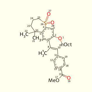 CCCCCCCCOc1cc2c(cc1C(C)=Cc1ccc(C(=O)OC)cc1)C(C)(C)CCCS2(=O)=O